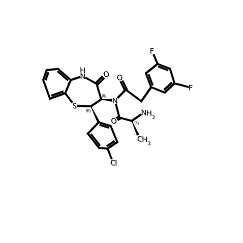 C[C@H](N)C(=O)N(C(=O)Cc1cc(F)cc(F)c1)[C@@H]1C(=O)Nc2ccccc2S[C@@H]1c1ccc(Cl)cc1